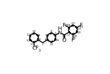 O=C(Nc1ccc(Cc2ccccc2C(F)(F)F)cc1)c1c(F)cc(F)cc1F